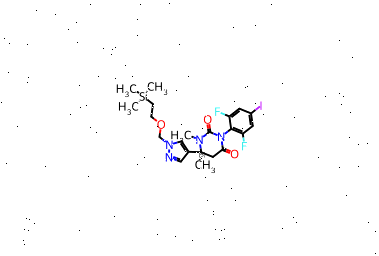 CN1C(=O)N(c2c(F)cc(I)cc2F)C(=O)C[C@@]1(C)c1cnn(COCC[Si](C)(C)C)c1